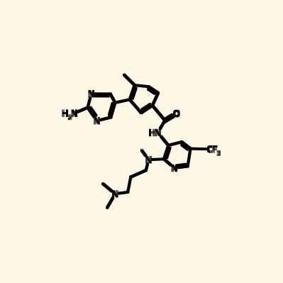 Cc1ccc(C(=O)Nc2cc(C(F)(F)F)cnc2N(C)CCCN(C)C)cc1-c1cnc(N)nc1